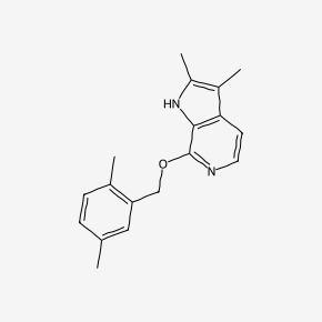 Cc1ccc(C)c(COc2nccc3c(C)c(C)[nH]c23)c1